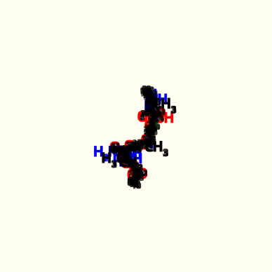 Cc1cc(N(CCCO)c2nc(C(=O)O)c(CCCOc3ccc(C#CCN(C)C(=O)OCc4ccc(NC(=O)[C@H](CCCNC(N)=O)NC(=O)[C@@H](NC(=O)CCOCCN5C(=O)CC(C6=CCC7=C6C7)C5=O)C(C)C)cc4)cc3F)s2)nnc1Nc1nc2ccccc2s1